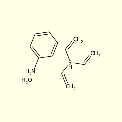 C=C[SiH](C=C)C=C.Nc1ccccc1.O